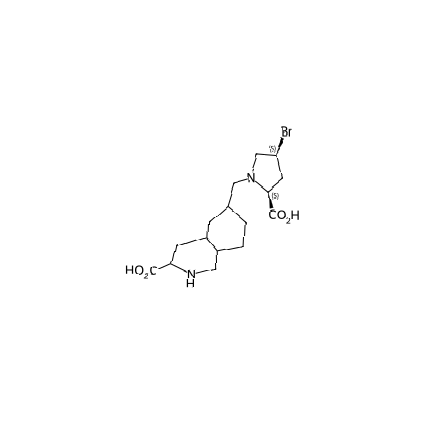 O=C(O)C1CC2CC(CN3C[C@@H](Br)C[C@H]3C(=O)O)CCC2CN1